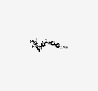 C/N=C\c1nc(Nc2cc(C)nc(-c3ccc(C(=O)NCc4ccc(-c5ccc(OC)nc5)nc4)nc3)n2)c[nH]1